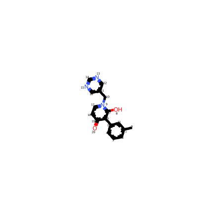 Cc1cccc(-c2c(O)n(Cc3cncnc3)ccc2=O)c1